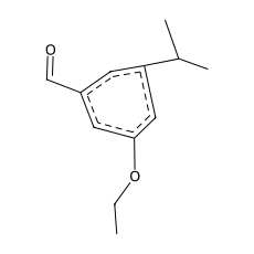 CCOc1cc(C=O)cc(C(C)C)c1